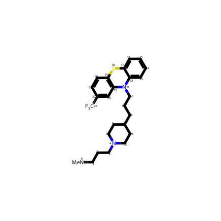 CNCCCN1CCC(CCCN2c3ccccc3Sc3ccc(C(F)(F)F)cc32)CC1